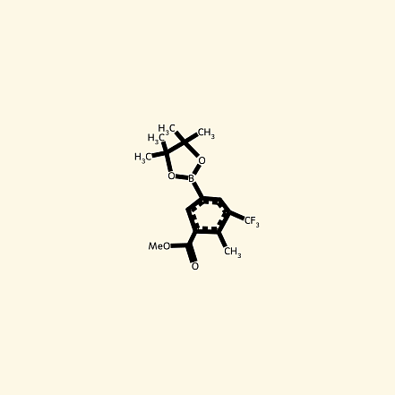 COC(=O)c1cc(B2OC(C)(C)C(C)(C)O2)cc(C(F)(F)F)c1C